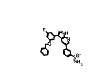 N[S+]([O-])c1cccc(-c2cnc3[nH]cc(-c4cc(F)cc(OCc5ccccc5)c4)c3c2)c1